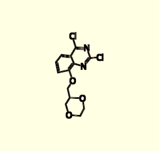 Clc1nc(Cl)c2cccc(OCC3COCCO3)c2n1